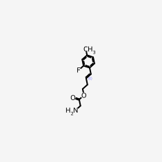 Cc1ccc(/C=C/CCOC(=O)CN)c(F)c1